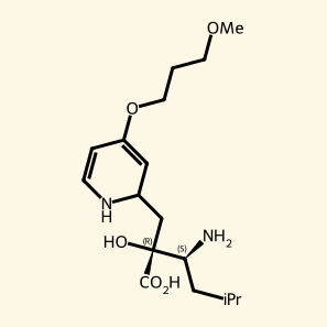 COCCCOC1=CC(C[C@](O)(C(=O)O)[C@@H](N)CC(C)C)NC=C1